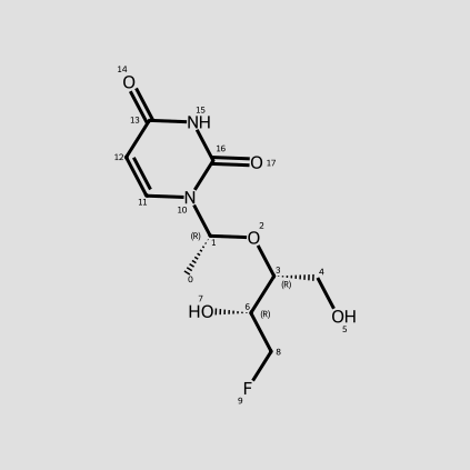 C[C@@H](O[C@H](CO)[C@@H](O)CF)n1ccc(=O)[nH]c1=O